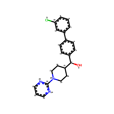 O[C@H](c1ccc(-c2cccc(Cl)c2)cc1)C1CCN(c2ncccn2)CC1